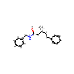 C[C@H](CCc1ccccc1)CC(=O)NCc1ccccc1